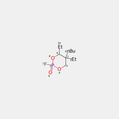 CCCCC1(CC)COP(=O)(F)OC1CC